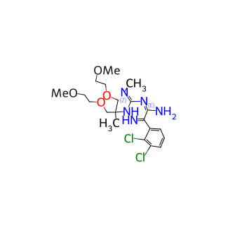 C/N=C(\N=C(\N)C(=N)c1cccc(Cl)c1Cl)NC(C)(COCCOC)COCCOC